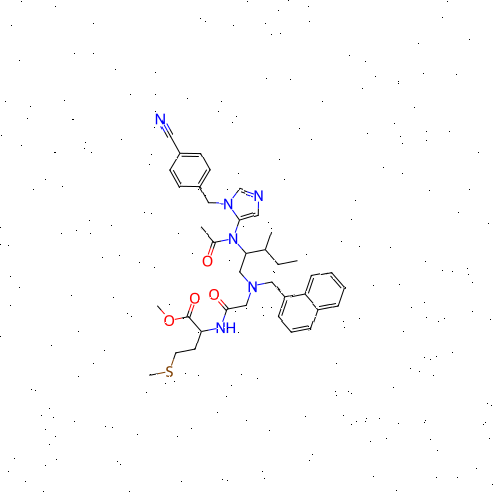 CCC(C)C(CN(CC(=O)NC(CCSC)C(=O)OC)Cc1cccc2ccccc12)N(C(C)=O)c1cncn1Cc1ccc(C#N)cc1